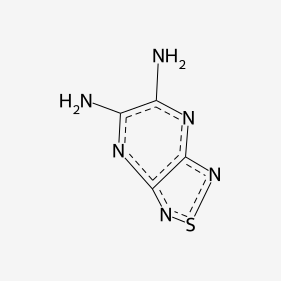 Nc1nc2nsnc2nc1N